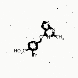 Cc1nc(OCc2ccc(C(=O)O)c(C(C)C)c2)c2ccsc2n1